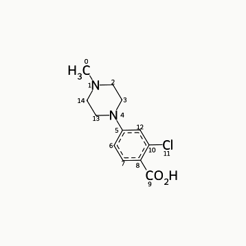 CN1CCN(c2ccc(C(=O)O)c(Cl)c2)CC1